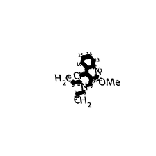 C=CCN(CC=C)Cc1c(OC)nc2ccccc2c1Cl